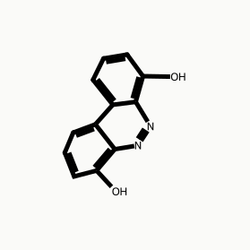 Oc1cccc2c1nnc1c(O)cccc12